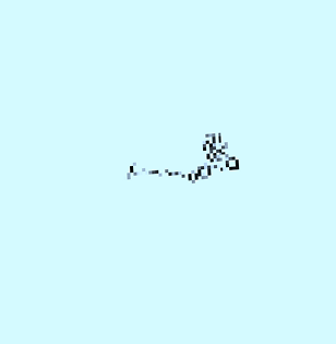 CCCCCCCCCCCOc1ccc(C(Cc2ccccc2)C(=O)OC(=O)OC)cc1